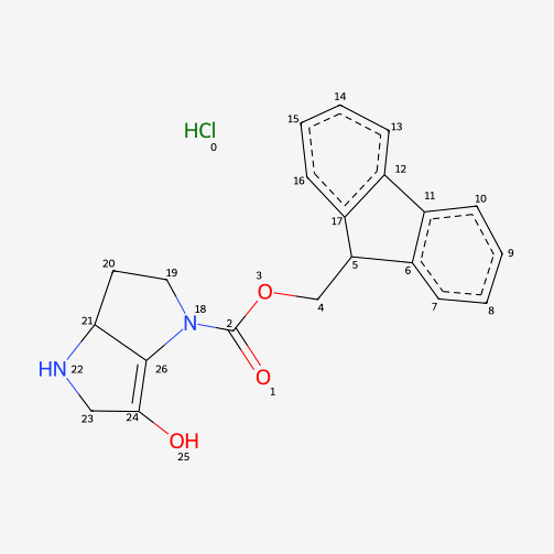 Cl.O=C(OCC1c2ccccc2-c2ccccc21)N1CCC2NCC(O)=C21